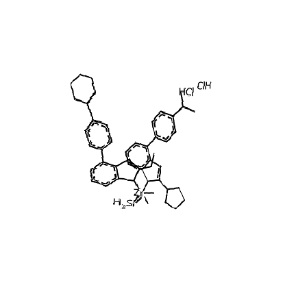 CCC1=Cc2c(-c3ccc(C4CCCCC4)cc3)cccc2[CH]1[Zr]([CH3])([CH3])(=[SiH2])[CH]1C(C2CCCC2)=Cc2c(-c3ccc(C(C)C)cc3)cccc21.Cl.Cl